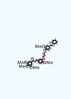 COc1cc(-c2nc3ccccc3s2)ccc1OCCCCOc1cc(/C=C/C(=O)c2cc(OC)c(OC)c(OC)c2)ccc1OC